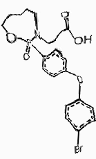 O=C(O)CN1CCCCOP1(=O)c1ccc(Oc2ccc(Br)cc2)cc1